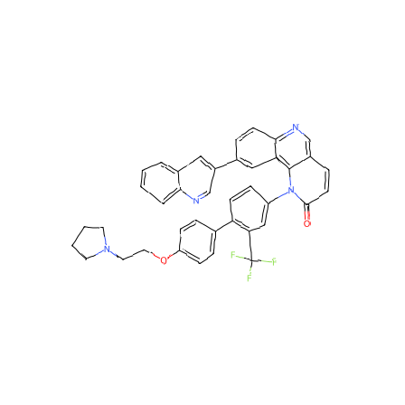 O=c1ccc2cnc3ccc(-c4cnc5ccccc5c4)cc3c2n1-c1ccc(-c2ccc(OCCN3CCCC3)cc2)c(C(F)(F)F)c1